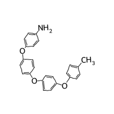 Cc1ccc(Oc2ccc(Oc3ccc(Oc4ccc(N)cc4)cc3)cc2)cc1